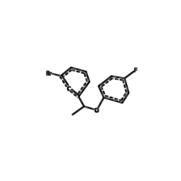 CC(Oc1ccc(F)cc1)c1cccc(Br)c1